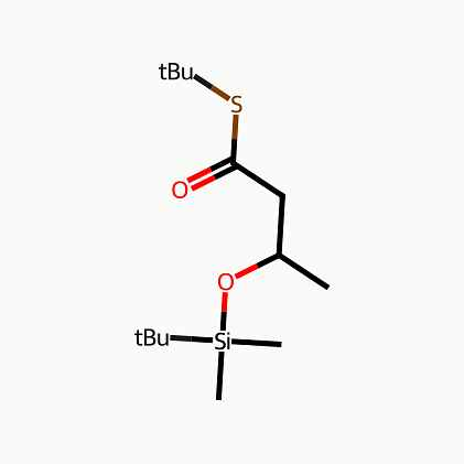 CC(CC(=O)SC(C)(C)C)O[Si](C)(C)C(C)(C)C